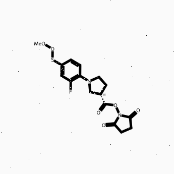 COOSc1ccc(N2CC[C@H](C(=O)ON3C(=O)CCC3=O)C2)c(F)c1